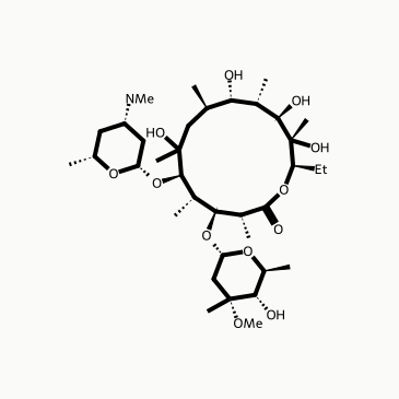 CC[C@H]1OC(=O)[C@H](C)[C@@H](O[C@H]2C[C@@](C)(OC)[C@@H](O)[C@H](C)O2)[C@H](C)[C@@H](O[C@H]2C[C@@H](NC)C[C@@H](C)O2)C(C)(O)C[C@@H](C)[C@H](O)[C@H](C)[C@@H](O)[C@]1(C)O